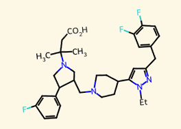 CCn1nc(Cc2ccc(F)c(F)c2)cc1C1CCN(CC2CN(C(C)(C)CC(=O)O)CC2c2cccc(F)c2)CC1